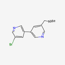 CNCc1cncc(-c2cncc(Br)c2)c1